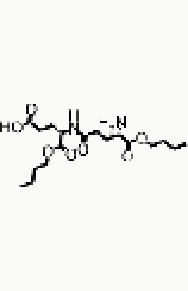 CCCCOC(=O)[C@@H](N)CCC(=O)N[C@H](CCC(=O)O)C(=O)OCCCC